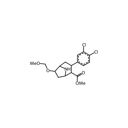 COCOC1CC2NC1CC(c1ccc(Cl)c(Cl)c1)C2C(=O)OC